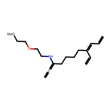 C=C=C(CCCC/C(C=C)=C/C=C)NCCOCCOC